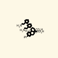 CC(C)c1ccc2c(c1)CC[C@H]1[C@@](CS(=O)(=O)O)(C(=O)O)CCC[C@]21C.NCCc1ccccc1.NCCc1ccccc1